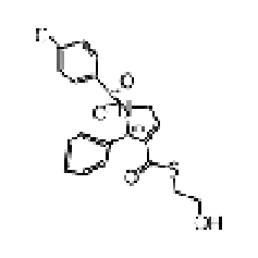 O=C(SCCO)C1=CCN(S(=O)(=O)c2ccc(Cl)cc2)[C@@H]1c1ccccc1